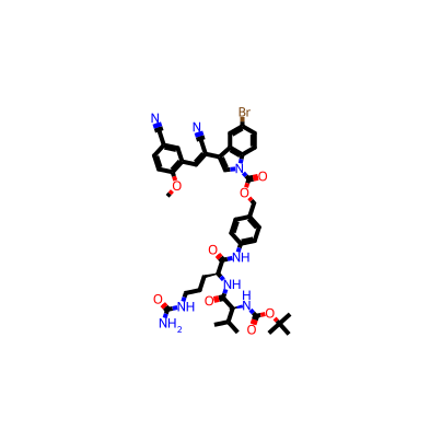 COc1ccc(C#N)cc1/C=C(\C#N)c1cn(C(=O)OCc2ccc(NC(=O)[C@H](CCCNC(N)=O)NC(=O)[C@@H](NC(=O)OC(C)(C)C)C(C)C)cc2)c2ccc(Br)cc12